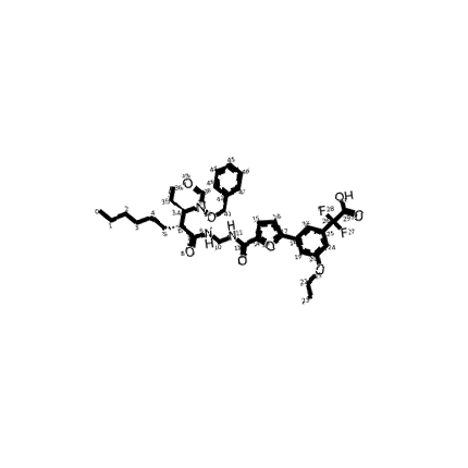 CCCCCC[C@@H](C(=O)NCNC(=O)c1ccc(-c2cc(OCC)cc(C(F)(F)C(=O)O)c2)o1)[C@@H](CC)N(C=O)OCc1ccccc1